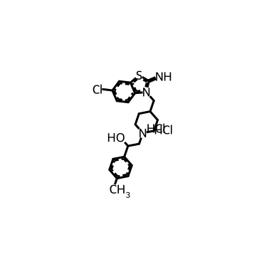 Cc1ccc(C(O)CN2CCC(Cn3c(=N)sc4cc(Cl)ccc43)CC2)cc1.Cl.Cl